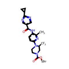 Cc1nc(N2CCN(C(=O)OC(C)(C)C)CC2C(F)(F)F)ccc1NC(=O)c1cnc(C2CC2)nc1